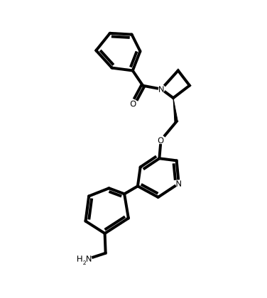 NCc1cccc(-c2cncc(OC[C@@H]3CCN3C(=O)c3ccccc3)c2)c1